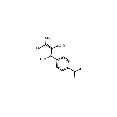 CCOC(=O)/C(=C(\C)N)N(N)c1ccc(C(F)F)cc1